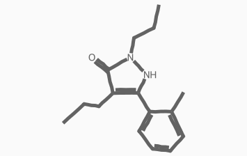 CCCc1c(-c2ccccc2C)[nH]n(CCC)c1=O